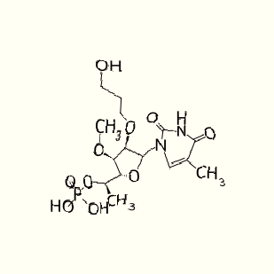 CO[C@@H]1[C@@H]([C@@H](C)OP(=O)(O)O)OC(n2cc(C)c(=O)[nH]c2=O)[C@@H]1OCCCO